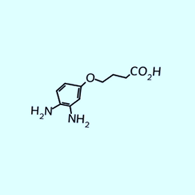 Nc1ccc(OCCCC(=O)O)cc1N